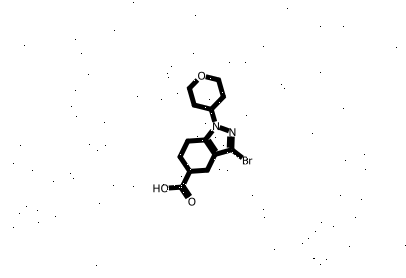 O=C(O)C1CCc2c(c(Br)nn2C2CCOCC2)C1